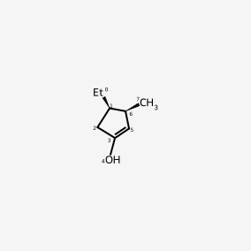 CC[C@@H]1CC(O)=C[C@@H]1C